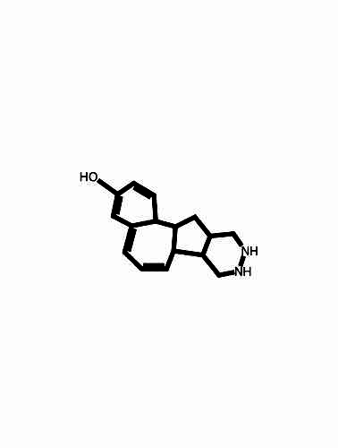 OC1=CC2=CC=CC3C4CNNCC4CC3C2C=C1